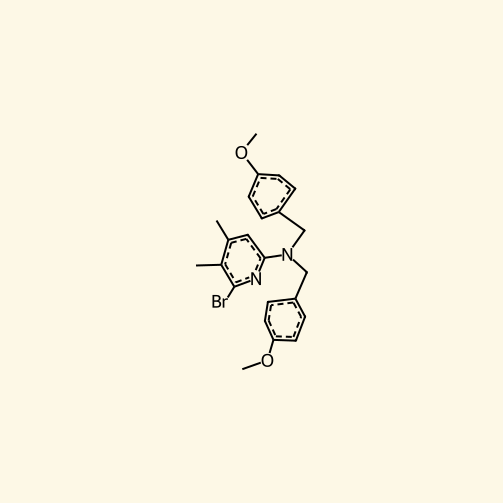 COc1ccc(CN(Cc2ccc(OC)cc2)c2cc(C)c(C)c(Br)n2)cc1